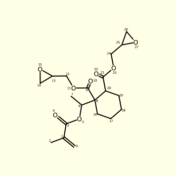 C=C(C)C(=O)OC(C)C1(C(=O)OCC2CO2)CCCCC1C(=O)OCC1CO1